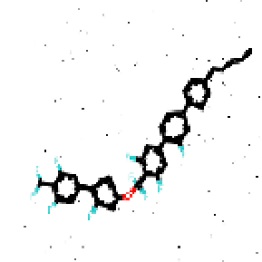 CCCCCc1ccc(-c2ccc(-c3cc(F)c(C(F)(F)Oc4ccc(-c5cc(F)c(C(F)F)c(F)c5)c(F)c4)c(F)c3)c(F)c2)cc1